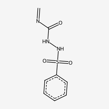 C=NC(=O)NNS(=O)(=O)c1ccccc1